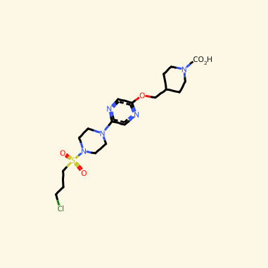 O=C(O)N1CCC(COc2cnc(N3CCN(S(=O)(=O)CCCCl)CC3)cn2)CC1